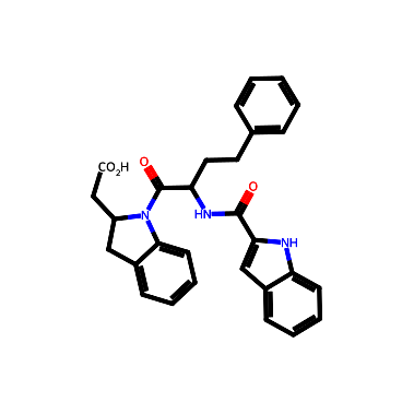 O=C(O)CC1Cc2ccccc2N1C(=O)C(CCc1ccccc1)NC(=O)c1cc2ccccc2[nH]1